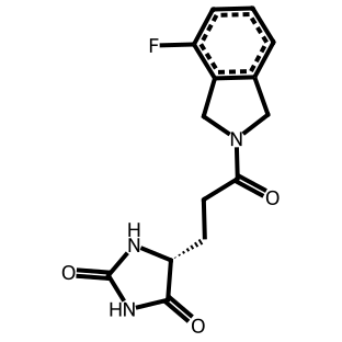 O=C1NC(=O)[C@@H](CCC(=O)N2Cc3cccc(F)c3C2)N1